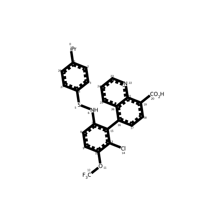 CC(C)c1ccc(SNc2ccc(OC(F)(F)F)c(Cl)c2-c2ccc(C(=O)O)c3ncccc23)cc1